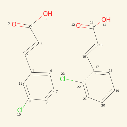 O=C(O)C=Cc1cccc(Cl)c1.O=C(O)C=Cc1ccccc1Cl